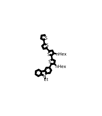 CCCCCCc1cc(-c2sc(-c3ccc(-c4cccs4)s3)cc2CCCCCC)sc1-c1ccc2c(c1)c1ccccc1n2CC